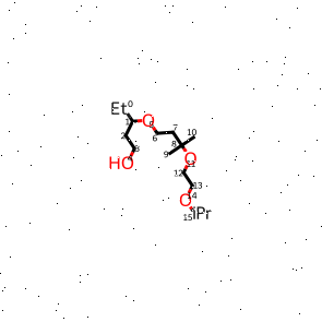 CCC(CCO)OCCC(C)(C)OCCOC(C)C